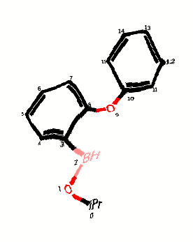 CC(C)OBc1ccccc1Oc1ccccc1